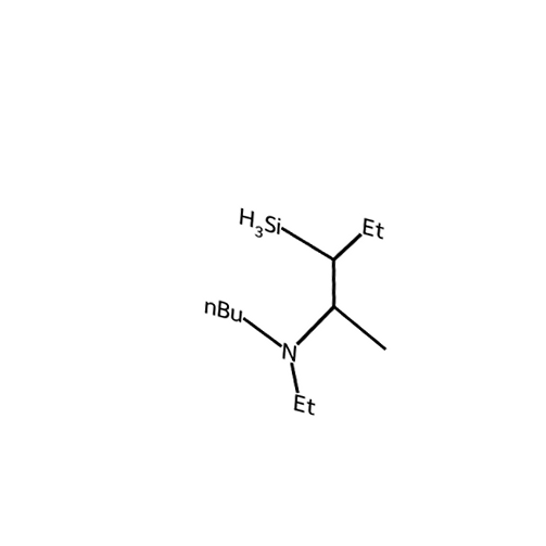 CCCCN(CC)C(C)C([SiH3])CC